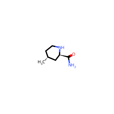 C[C@@H]1CCN[C@@H](C(N)=O)C1